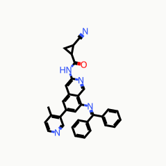 Cc1ccncc1-c1cc(N=C(c2ccccc2)c2ccccc2)c2cnc(NC(=O)C3CC3C#N)cc2c1